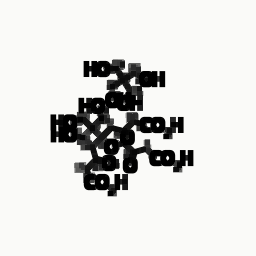 O=C(O)CC(=O)COC(CC(=O)CC(=O)O)(CC(=O)CC(=O)O)C(CO)(CO)CO.OCC(CO)(CO)CO